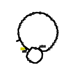 CCCCCCCC/C1=C2\CCCCCCCCCCCCCCCCCCCCCCCCCC/C=C(/C)CCC(S)(CCC)C(C)(CCCCCCCCC2)CC1